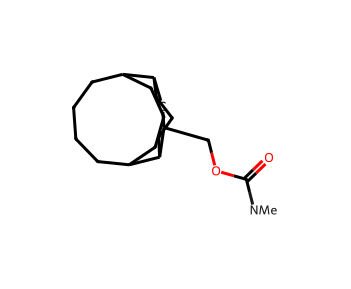 CNC(=O)OCC1CC2CCCC1C1CCCCC2CCC1